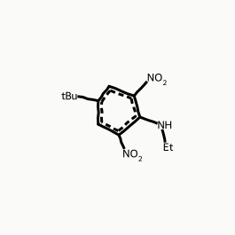 CCNc1c([N+](=O)[O-])cc(C(C)(C)C)cc1[N+](=O)[O-]